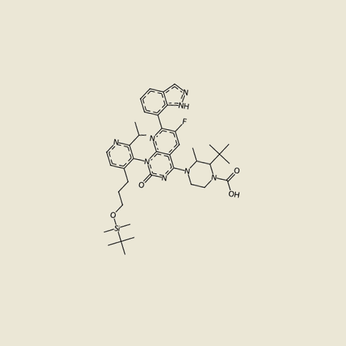 CC(C)c1nccc(CCCO[Si](C)(C)C(C)(C)C)c1-n1c(=O)nc(N2CCN(C(=O)O)C(C(C)(C)C)C2C)c2cc(F)c(-c3cccc4cn[nH]c34)nc21